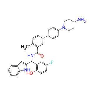 Cc1ccc(-c2ccc(N3CCC(N)CC3)cc2)cc1C(=O)NC(c1cc2ccccc2[nH]1)c1cc(F)ccc1O